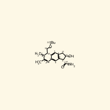 CC(=Nc1ccc2c(c1)[C@@H](C(N)=O)[C@H](O)C2)N(C)CCOC(C)(C)C